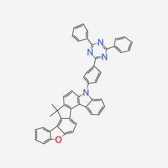 CC1(C)c2ccc3c(c2-c2ccc4oc5ccccc5c4c21)c1ccccc1n3-c1ccc(-c2nc(-c3ccccc3)nc(-c3ccccc3)n2)cc1